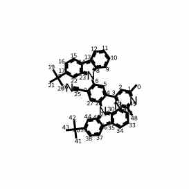 Cc1cc(-c2cc(-n3c4ccccc4c4ccc(C(C)(C)C)cc43)c(C#N)cc2-n2c3ccccc3c3ccc(C(C)(C)C)cc32)nc(C)n1